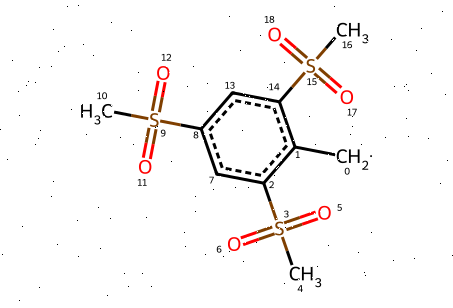 [CH2]c1c(S(C)(=O)=O)cc(S(C)(=O)=O)cc1S(C)(=O)=O